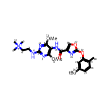 COc1nc(NCC[N+](C)(C)C)nc(OC)c1NC(=O)c1coc(Oc2cc(C(C)(C)C)ccc2C)n1